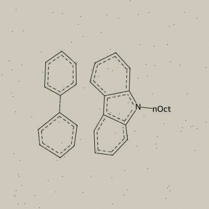 CCCCCCCCn1c2ccccc2c2ccccc21.c1ccc(-c2ccccc2)cc1